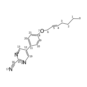 CCCCC=CCOc1ccc(-c2cnc(C#N)nc2)cc1